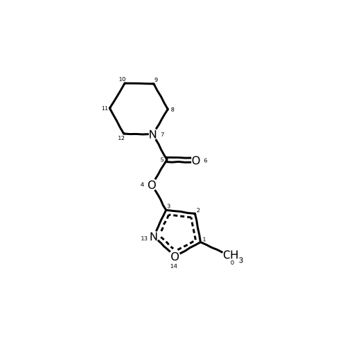 Cc1cc(OC(=O)N2CCCCC2)no1